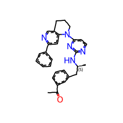 CC(=O)c1cccc(C[C@H](C)Nc2nccc(N3CCCc4cnc(-c5ccccc5)cc43)n2)c1